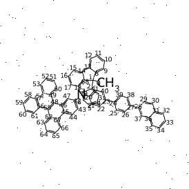 CC1(c2ccccc2)c2ccccc2-c2cccc(N(c3ccc(-c4ccc(-c5ccc6ccccc6c5)cc4)cc3)c3ccc4c(c3)c(-c3ccccc3)c(-c3ccccc3)c3ccccc34)c21